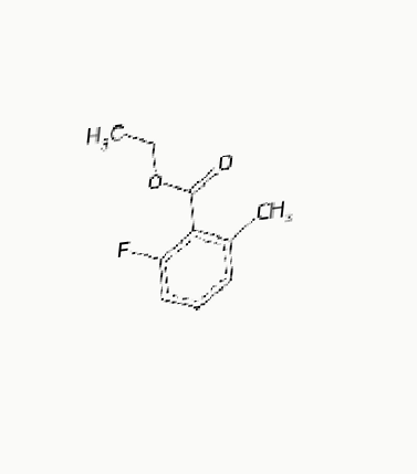 CCOC(=O)c1c(C)cccc1F